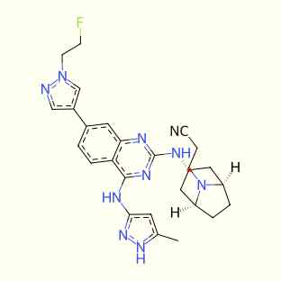 Cc1cc(Nc2nc(N[C@@H]3C[C@H]4CC[C@@H](C3)N4CCC#N)nc3cc(-c4cnn(CCF)c4)ccc23)n[nH]1